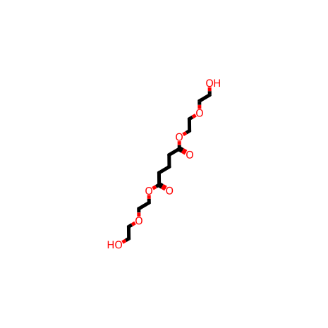 O=C(CCCC(=O)OCCOCCO)OCCOCCO